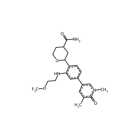 Cc1cc(-c2ccc(C3CC(C(N)=O)CCO3)c(NCCOC(F)(F)F)c2)cn(C)c1=O